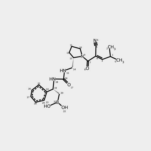 CC(C)C=C(C#N)C(=O)N1CCC[C@H]1CNC(=O)N[C@H](CB(O)O)c1ccccc1